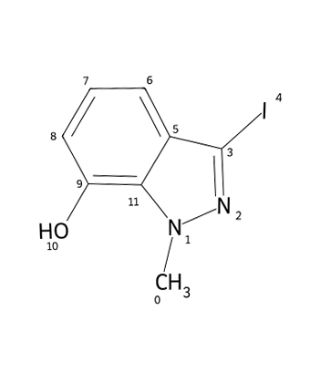 Cn1nc(I)c2cccc(O)c21